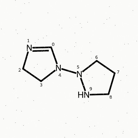 C1=NCCN1N1CCCN1